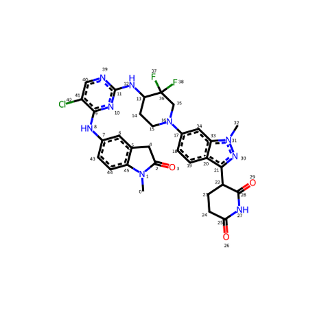 CN1C(=O)Cc2cc(Nc3nc(NC4CCN(c5ccc6c(C7CCC(=O)NC7=O)nn(C)c6c5)CC4(F)F)ncc3Cl)ccc21